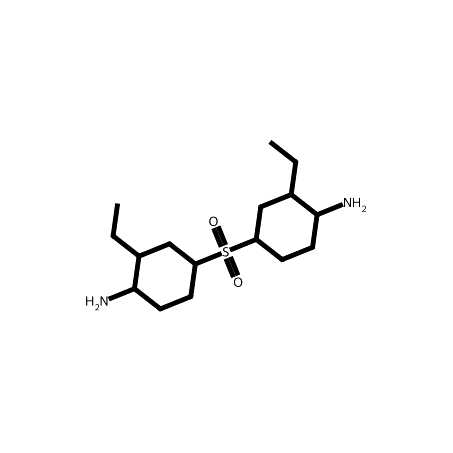 CCC1CC(S(=O)(=O)C2CCC(N)C(CC)C2)CCC1N